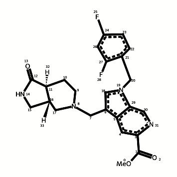 COC(=O)c1cc2c(CN3CC[C@@H]4C(=O)NC[C@H]4C3)cn(Cc3ccc(F)cc3F)c2cn1